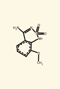 COc1cccc2c1NS(=O)(=O)N=C2N